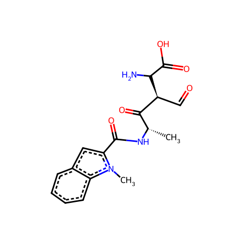 C[C@H](NC(=O)c1cc2ccccc2n1C)C(=O)[C@H](C=O)C(N)C(=O)O